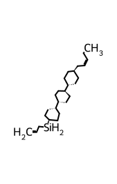 C=CC[SiH2][C@H]1CC[C@H]([C@H]2CC[C@H]([C@H]3CC[C@H](C/C=C\CC)CC3)CC2)CC1